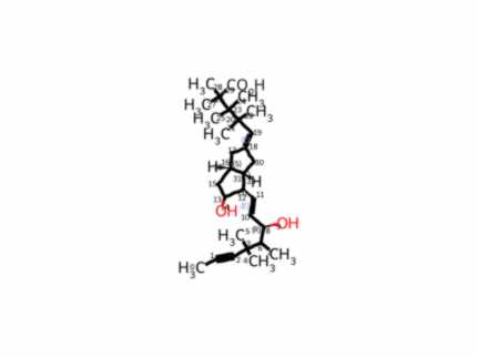 CC#CC(C)(C)C(C)[C@H](O)/C=C/[C@H]1C(O)C[C@@H]2C/C(=C\C(C)(C)C(C)(C)C(C)(C)C(=O)O)C[C@@H]21